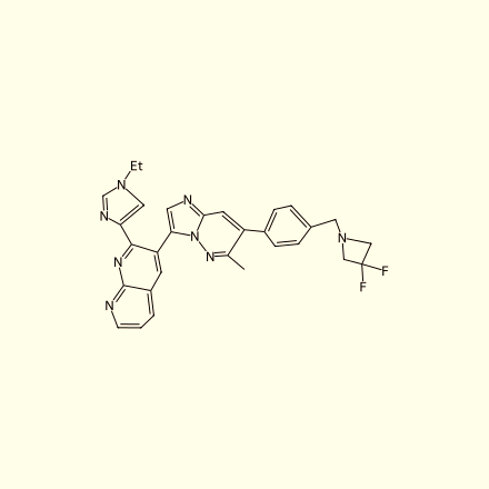 CCn1cnc(-c2nc3ncccc3cc2-c2cnc3cc(-c4ccc(CN5CC(F)(F)C5)cc4)c(C)nn23)c1